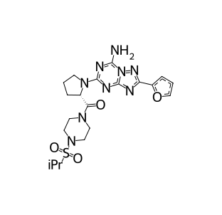 CC(C)S(=O)(=O)N1CCN(C(=O)[C@@H]2CCCN2c2nc(N)n3nc(-c4ccco4)nc3n2)CC1